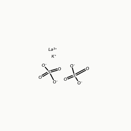 O=S(=O)([O-])[O-].O=S(=O)([O-])[O-].[K+].[La+3]